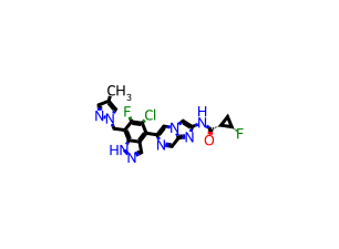 Cc1cnn(Cc2c(F)c(Cl)c(-c3cn4cc(NC(=O)[C@@H]5C[C@@H]5F)nc4cn3)c3cn[nH]c23)c1